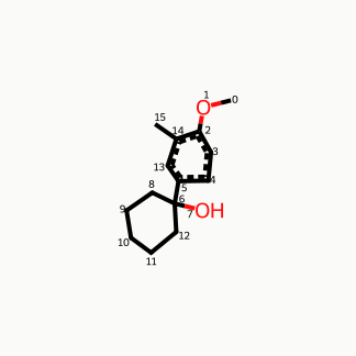 COc1ccc(C2(O)CCCCC2)cc1C